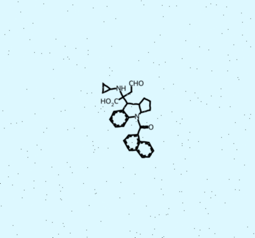 O=CCC(NC1CC1)(C(=O)O)C1c2ccccc2N(C(=O)c2cccc3ccccc23)C2CCCC21